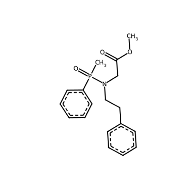 COC(=O)CN(CCc1ccccc1)P(C)(=O)c1ccccc1